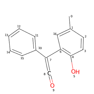 Cc1ccc(O)c(C(=C=O)c2ccccc2)c1